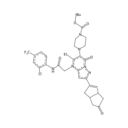 CCc1c(N2CCN(C(=O)OC(C)(C)C)CC2)c(=O)n2nc(C3=CC4CC(=O)CC4C3)cc2n1CC(=O)Nc1ccc(C(F)(F)F)cc1Cl